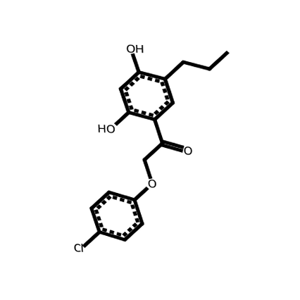 CCCc1cc(C(=O)COc2ccc(Cl)cc2)c(O)cc1O